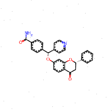 NC(=O)c1ccc([C@@H](Oc2ccc3c(c2)O[C@H](c2ccccc2)CC3=O)c2ccncc2)cc1